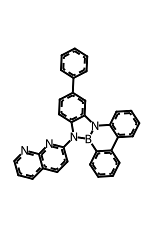 c1ccc(-c2ccc3c(c2)N2B(c4ccccc4-c4ccccc42)N3c2ccc3cccnc3n2)cc1